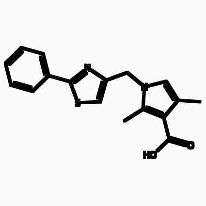 Cc1cn(Cc2csc(-c3ccccc3)n2)c(C)c1C(=O)O